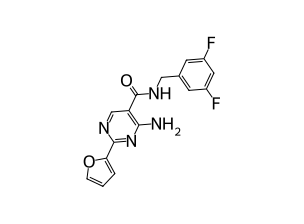 Nc1nc(-c2ccco2)ncc1C(=O)NCc1cc(F)cc(F)c1